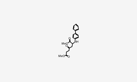 COC(=O)CCC(=O)CC(Nc1ccc(-c2ccccc2)cc1)C(=O)OC